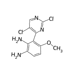 COc1ccc(N)c(N)c1-c1nc(Cl)ncc1Cl